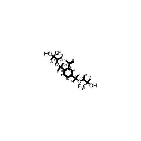 C=C(C)c1cc(C(C)(C)OC(C)C(C)(O)C(F)(F)F)ccc1C(C)(C)OC(C)C(C)(O)C(F)(F)F